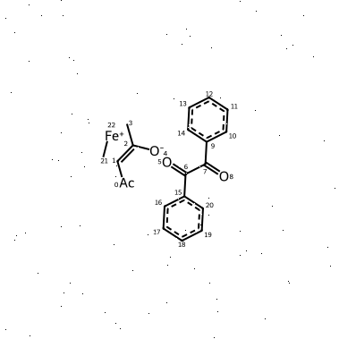 CC(=O)/C=C(/C)[O-].O=C(C(=O)c1ccccc1)c1ccccc1.[CH3][Fe+]